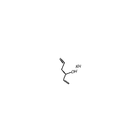 C=CCC(O)C=C.[KH]